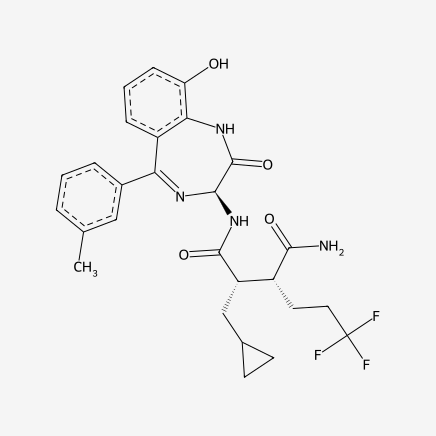 Cc1cccc(C2=N[C@H](NC(=O)[C@@H](CC3CC3)[C@@H](CCC(F)(F)F)C(N)=O)C(=O)Nc3c(O)cccc32)c1